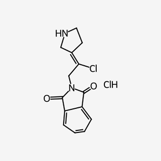 Cl.O=C1c2ccccc2C(=O)N1C/C(Cl)=C1/CCNC1